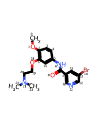 COc1ccc(NC(=O)c2cncc(Br)c2)cc1OCCN(C)C